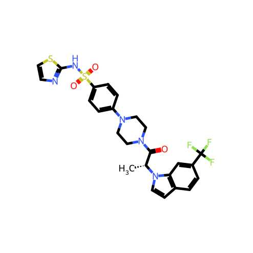 C[C@H](C(=O)N1CCN(c2ccc(S(=O)(=O)Nc3nccs3)cc2)CC1)n1ccc2ccc(C(F)(F)F)cc21